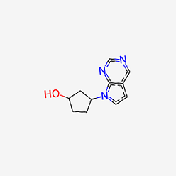 OC1CCC(n2ccc3cncnc32)C1